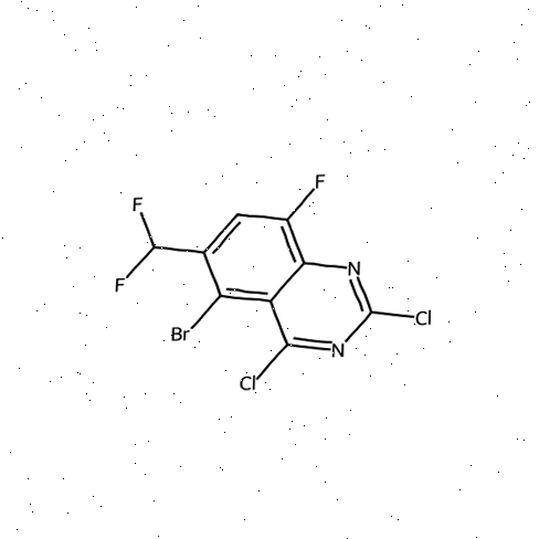 Fc1cc(C(F)F)c(Br)c2c(Cl)nc(Cl)nc12